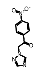 O=C(Cn1cncn1)c1ccc([N+](=O)[O-])cc1